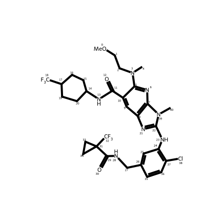 COCCN(C)c1nc2c(cc1C(=O)NC1CCC(C(F)(F)F)CC1)nc(Nc1cc(CNC(=O)C3(C(F)(F)F)CC3)ccc1Cl)n2C